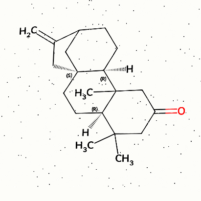 C=C1C[C@@]23CC[C@@H]4C(C)(C)CC(=O)CC4(C)[C@@H]2CCC1C3